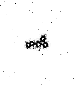 Cc1c(-c2ccc3c4ccccc4c4ccccc4c3c2)ccc2ccccc12